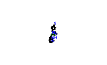 Cl.N#Cc1ccc(Cn2cncc2Cc2cc3cccnc3[nH]2)cc1